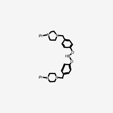 CC(C)N1CCN(Cc2ccc(OBOc3ccc(CN4CCN(C(C)C)CC4)cc3)cc2)CC1